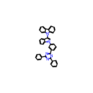 c1ccc(-c2nc(-c3ccccc3)nc(-c3cccc(-n4cc(-n5c6ccccc6c6ccccc65)c5ccccc54)c3)n2)cc1